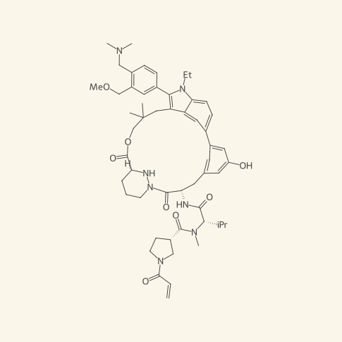 C=CC(=O)N1CC[C@H](C(=O)N(C)[C@H](C(=O)N[C@H]2Cc3cc(O)cc(c3)-c3ccc4c(c3)c(c(-c3ccc(CN(C)C)c(COC)c3)n4CC)CC(C)(C)COC(=O)[C@@H]3CCCN(N3)C2=O)C(C)C)C1